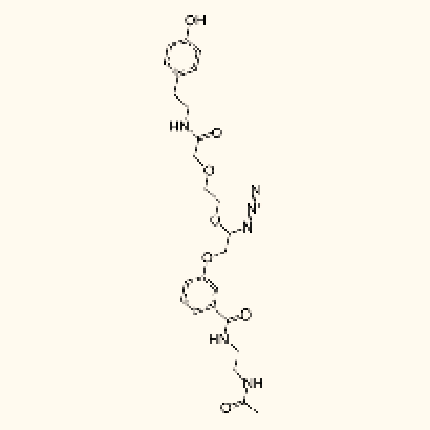 CC(=O)NCCNC(=O)c1cccc(OCC(N=[N+]=[N-])OCCOCC(=O)NCCc2ccc(O)cc2)c1